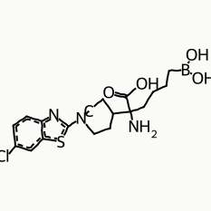 NC(CCCCB(O)O)(C(=O)O)C1CCN(c2nc3ccc(Cl)cc3s2)CC1